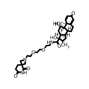 C[C@@H]1C[C@H]2[C@H](C[C@H](O)[C@@]3(F)[C@H]2CCC2=CC(=O)C=C[C@@]23C)[C@@]1(O)C(=O)NCCOCCOCCN1CC2(CCC(=O)NC2=O)C1